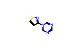 C1=NC=NCN1c1ccsn1